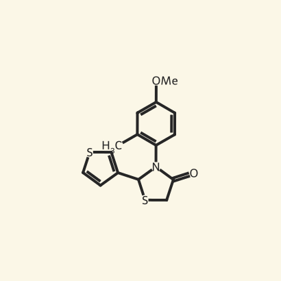 COc1ccc(N2C(=O)CSC2c2ccsc2)c(C)c1